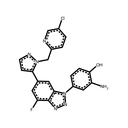 Nc1cc(-n2nnc3c(F)cc(-c4ccnn4Cc4ccc(Cl)cn4)cc32)ccc1O